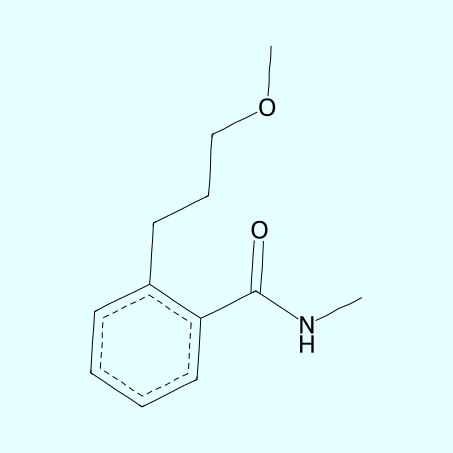 CNC(=O)c1ccccc1CCCOC